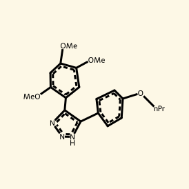 CCCOc1ccc(-c2[nH]nnc2-c2cc(OC)c(OC)cc2OC)cc1